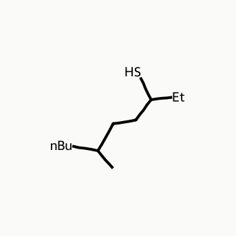 CCCCC(C)CCC(S)CC